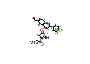 C=Cc1ccc2nc(-c3ccccc3)cc(O[C@H]3CN[C@H](C(=O)OC)C3)c2c1.Cl